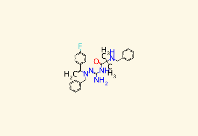 C=C(c1ccc(F)cc1)N(Cc1ccccc1)/N=C(\N)NC(=O)C(C)(C)NCc1ccccc1